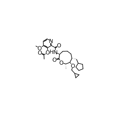 COc1ccnc(C(=O)N[C@H]2CCC[C@H](CC3CCCC3)[C@@H](OCC3CC3)[C@H](C)OC2=O)c1OC(C)=O